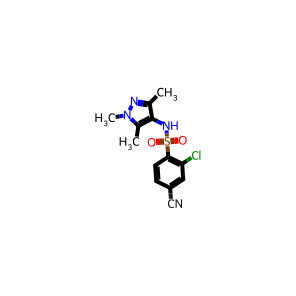 Cc1nn(C)c(C)c1NS(=O)(=O)c1ccc(C#N)cc1Cl